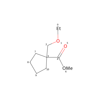 CCOCC1(C(=O)OC)CCCC1